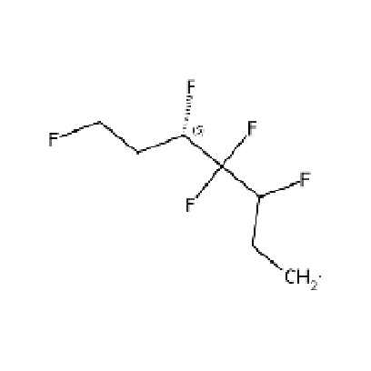 [CH2]CC(F)C(F)(F)[C@@H](F)CCF